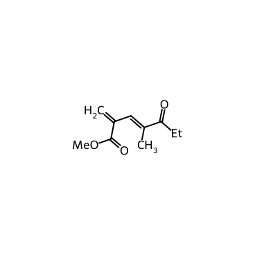 C=C(/C=C(\C)C(=O)CC)C(=O)OC